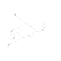 CC/C=C\CCCCOC(CCC(=O)OCC(COC(=O)CCC(OCCCC/C=C\CC)OCCCC/C=C\CC)COC(=O)C1(C)CCN(C)C1)OCCCC/C=C\CC